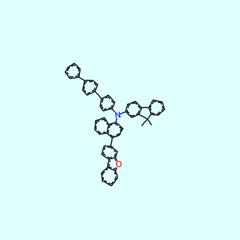 CC1(C)c2ccccc2-c2ccc(N(c3ccc(-c4ccc(-c5ccccc5)cc4)cc3)c3ccc(-c4ccc5c(c4)oc4ccccc45)c4ccccc34)cc21